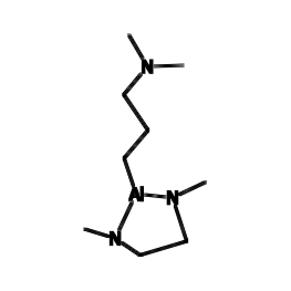 CN(C)CC[CH2][Al]1[N](C)CC[N]1C